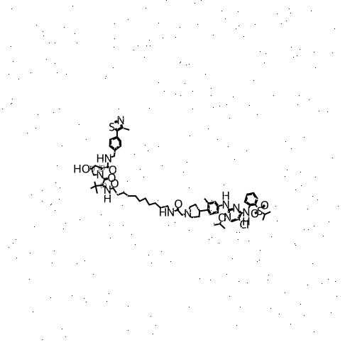 Cc1cc(Nc2ncc(Cl)c(Nc3ccccc3S(=O)(=O)C(C)C)n2)c(OC(C)C)cc1C1CCN(CC(=O)NCCCCCCCCCCC(=O)N[C@H](C(=O)N2C[C@H](O)C[C@H]2C(=O)NCc2ccc(-c3scnc3C)cc2)C(C)(C)C)CC1